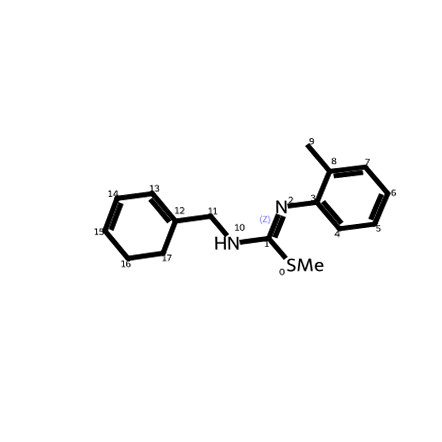 CS/C(=N\c1ccccc1C)NCC1=CC=CCC1